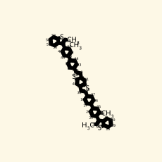 Cc1cc(-c2ccc(-c3cc4cc5sc(-c6ccc(-c7ccc(-c8c(C)sc9ccccc89)c(C)c7)cc6)cc5cc4s3)cc2)ccc1-c1c(C)sc2ccccc12